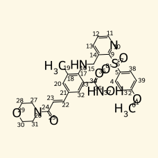 COc1ccc(S(=O)(=O)c2ncccc2CNc2c(C)cc(C=CC(=O)N3CCOCC3)cc2C(=O)NO)cc1